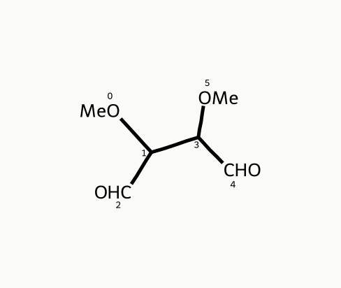 COC(C=O)C(C=O)OC